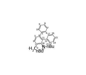 [CH2]c1ccc(-c2ccccc2)c(-c2ccccc2)c1N(CCCC)CCCC